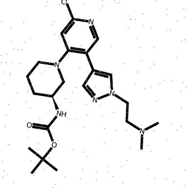 CN(C)CCn1cc(-c2cnc(Cl)cc2N2CCC[C@H](NC(=O)OC(C)(C)C)C2)cn1